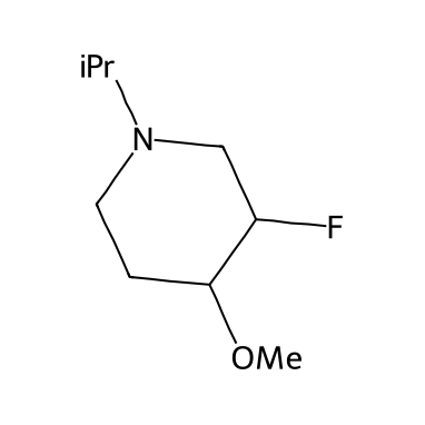 COC1CCN(C(C)C)CC1F